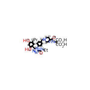 CCNC(=O)c1nnc(-c2cc(C(C)C)c(O)cc2O)n1-c1ccc(CN2CCC(C(=O)NC(C(=O)O)C(=O)O)CC2)cc1